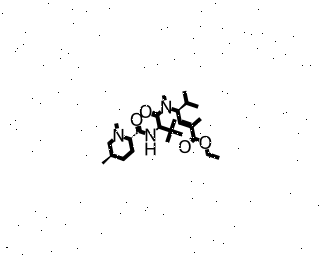 CCOC(=O)/C(C)=C/[C@H](C(C)C)N(C)C(=O)[C@@H](NC(=O)[C@@H]1CC[C@@H](C)CN1C)C(C)(C)C